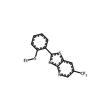 CCSc1ccccc1-c1nc2ncc(C(F)(F)F)cc2s1